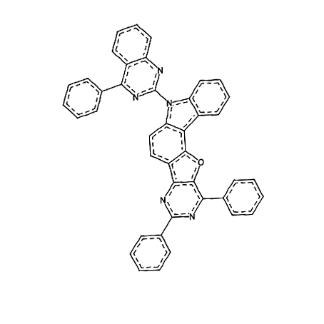 c1ccc(-c2nc(-c3ccccc3)c3oc4c(ccc5c4c4ccccc4n5-c4nc(-c5ccccc5)c5ccccc5n4)c3n2)cc1